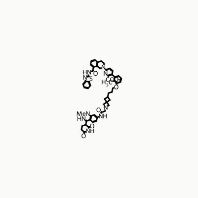 CNc1cc(NC(=O)CN2CC3(CC(CCCOc4cccc(-c5ccc(N6CCc7cccc(C(=O)Nc8nc9ccccc9s8)c7C6)nc5C(=O)O)c4C)C3)C2)ccc1C(=N)C1CCC(=O)NC1=O